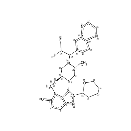 C[C@@H]1CN(c2c3c(ccc(=O)n3C)nn2C2CCCCO2)[C@@H](C)CN1C(c1ccc2nccnc2c1)C(F)F